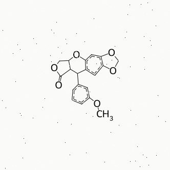 COc1cccc(C2c3cc4c(cc3OC3COC(=O)C32)OCO4)c1